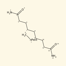 CCCCCC.NC(=O)CCCCCCCC(N)=O